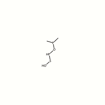 CP(C)OPSO